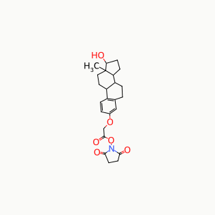 CC12CCC3c4ccc(OCC(=O)ON5C(=O)CCC5=O)cc4CCC3C1CCC2O